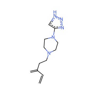 C=CC(=C)CCN1CCN(c2c[nH]nn2)CC1